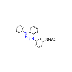 CC(=O)Nc1cccc(Nc2ccccc2Nc2ccccc2)c1